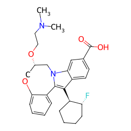 CN(C)CCO[C@H]1COc2ccccc2-c2c([C@@H]3CCCC[C@H]3F)c3ccc(C(=O)O)cc3n2C1